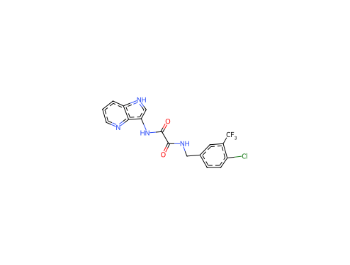 O=C(NCc1ccc(Cl)c(C(F)(F)F)c1)C(=O)Nc1c[nH]c2cccnc12